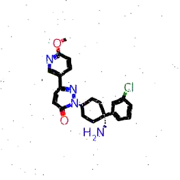 COc1ccc(-c2ccc(=O)n([C@H]3CC[C@](CN)(c4cccc(Cl)c4)CC3)n2)cn1